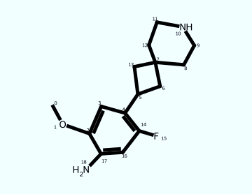 COc1cc(C2CC3(CCNCC3)C2)c(F)cc1N